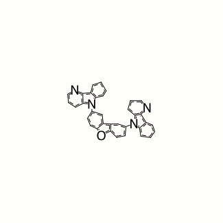 c1ccc2c(c1)c1ncccc1n2-c1ccc2oc3ccc(-n4c5ccccc5c5ncccc54)cc3c2c1